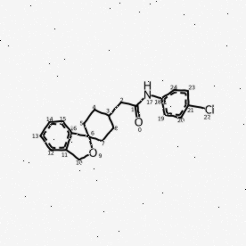 O=C(CC1CCC2(CC1)OCc1ccccc12)Nc1ccc(Cl)cc1